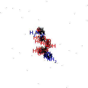 [2H][C@H]1C=CN([C@@H]2O[C@H](COP(=O)(O)OP(=O)(O)OC[C@H]3O[C@@H](n4cnc5c(N)ncnc54)[C@H](OP(=O)(O)O)[C@@H]3O)[C@@H](O)[C@H]2O)C=C1C(N)=O